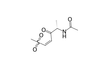 CC(=O)N[C@@H](C)C(=O)/C=C\S(C)(=O)=O